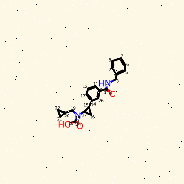 O=C(NCc1ccccc1)c1cccc(C2CC2N(CC2CC2)C(=O)O)c1